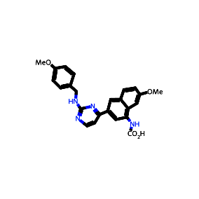 COc1ccc(CNc2nccc(-c3cc(NC(=O)O)c4cc(OC)ccc4c3)n2)cc1